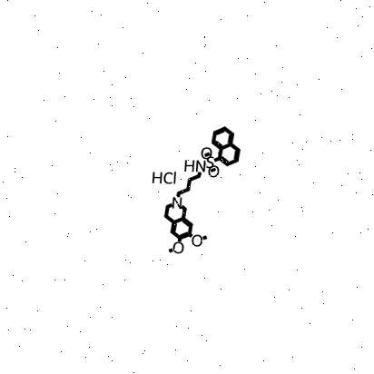 COc1cc2c(cc1OC)CN(CCCCNS(=O)(=O)c1cccc3ccccc13)CC2.Cl